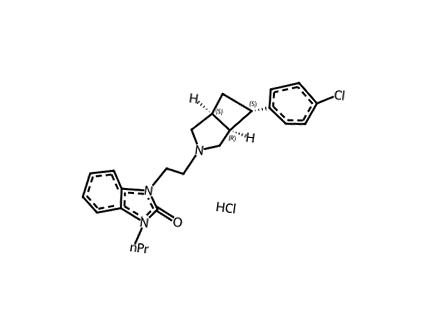 CCCn1c(=O)n(CCN2C[C@H]3C[C@H](c4ccc(Cl)cc4)[C@H]3C2)c2ccccc21.Cl